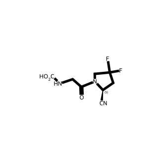 N#C[C@@H]1CC(F)(F)CN1C(=O)CNC(=O)O